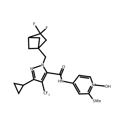 CSc1cc(NC(=O)c2c(C(F)(F)F)c(C3CC3)nn2CC23CC(C2)C(F)(F)C3)cc[n+]1O